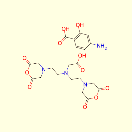 Nc1ccc(C(=O)O)c(O)c1.O=C(O)CN(CCN1CC(=O)OC(=O)C1)CCN1CC(=O)OC(=O)C1